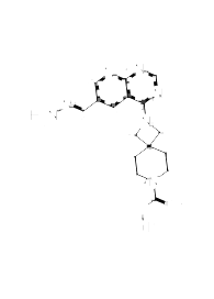 CC(C)(C)OC(=O)N1CCC2(CC1)CN(c1ncnc3ncc(/C=N/N)cc13)C2